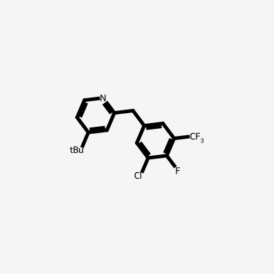 CC(C)(C)c1ccnc(Cc2cc(Cl)c(F)c(C(F)(F)F)c2)c1